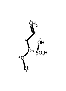 C=CCOOCC.O=S(=O)(O)O